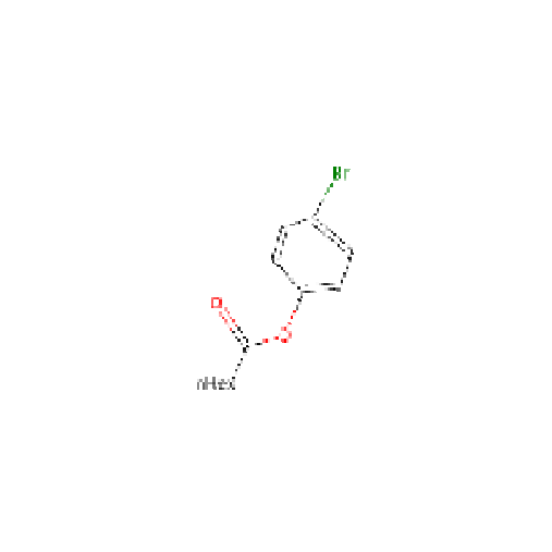 CCCCCCC(=O)Oc1ccc(Br)cc1